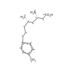 Cc1ccc(CCC[C@H](C)C[C@H](N)CC(=O)O)cc1